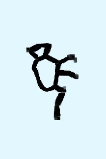 CN1C(=O)C(N=[N+]=[N-])CCCn2nccc21